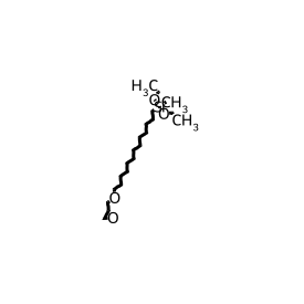 CCO[Si](C)(CCCCCCCCCCCCCOCC1CO1)OCC